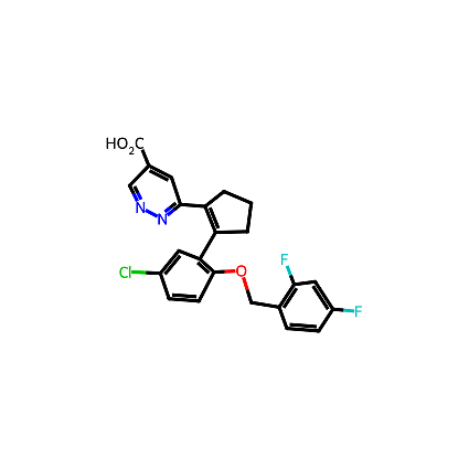 O=C(O)c1cnnc(C2=C(c3cc(Cl)ccc3OCc3ccc(F)cc3F)CCC2)c1